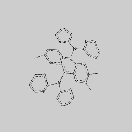 Cc1ccc2c(N(c3ccccn3)c3ccccn3)c3cc(C)c(C)cc3c(N(c3ccccn3)c3ccccn3)c2c1